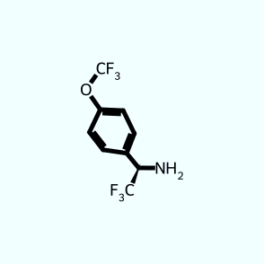 N[C@H](c1ccc(OC(F)(F)F)cc1)C(F)(F)F